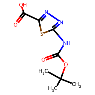 CC(C)(C)OC(=O)Nc1nnc(C(=O)O)s1